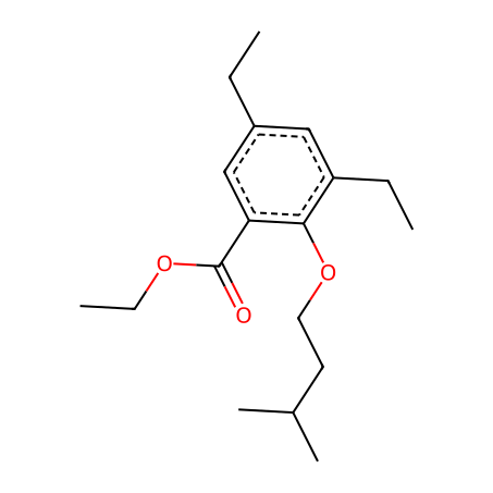 CCOC(=O)c1cc(CC)cc(CC)c1OCCC(C)C